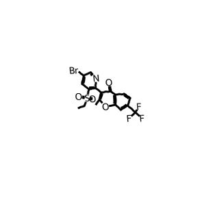 CCS(=O)(=O)c1cc(Br)cnc1-c1c(C)oc2cc(C(F)(F)F)ccc2c1=O